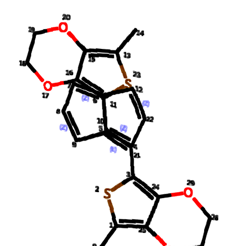 Cc1sc(/C=C/C2=C\C=C/C(c3sc(C)c4c3OCCO4)=C/C=C\2)c2c1OCCO2